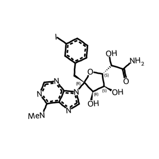 CNc1ncnc2c1ncn2[C@]1(Cc2cccc(I)c2)O[C@H](C(O)C(N)=O)[C@@H](O)[C@H]1O